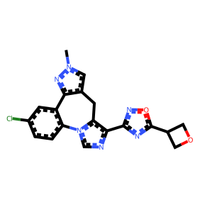 Cn1cc2c(n1)-c1cc(Cl)ccc1-n1cnc(-c3noc(C4COC4)n3)c1C2